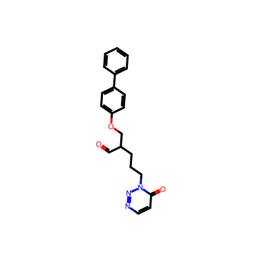 O=CC(CCCn1nnccc1=O)COc1ccc(-c2ccccc2)cc1